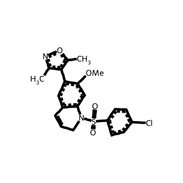 COc1cc2c(cc1-c1c(C)noc1C)C=CCN2S(=O)(=O)c1ccc(Cl)cc1